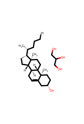 CC(C)CCC[C@@H](C)[C@H]1CC[C@H]2[C@@H]3CC=C4C[C@@H](O)CC[C@]4(C)[C@H]3CC[C@]12C.OCC(O)CO